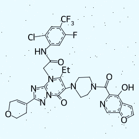 CCc1c(N2CCN(C(=O)c3ncc4occc4c3O)CC2)c(=O)n2nc(C3=CCOCC3)nc2n1CC(=O)Nc1cc(F)c(C(F)(F)F)cc1Cl